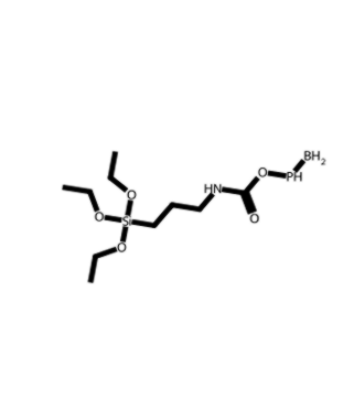 BPOC(=O)NCCC[Si](OCC)(OCC)OCC